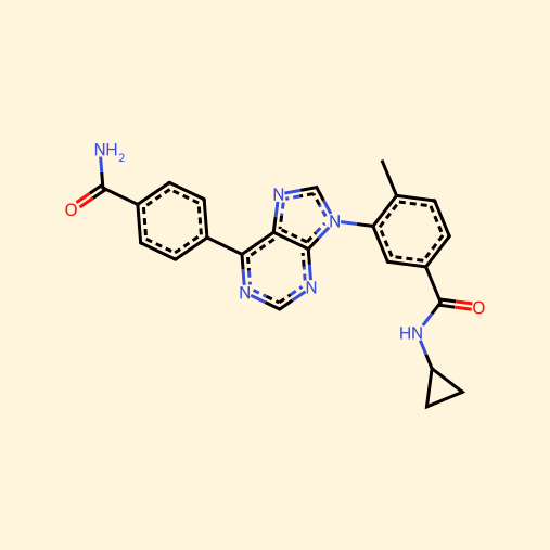 Cc1ccc(C(=O)NC2CC2)cc1-n1cnc2c(-c3ccc(C(N)=O)cc3)ncnc21